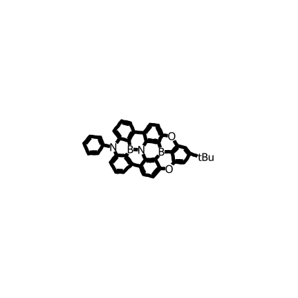 CC(C)(C)c1cc2c3c(c1)Oc1ccc4c5c1B3c1c(ccc3c1N5B1c5c-3cccc5N(c3ccccc3)c3cccc-4c31)O2